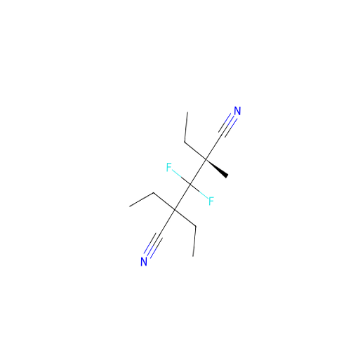 CCC(C#N)(CC)C(F)(F)[C@@](C)(C#N)CC